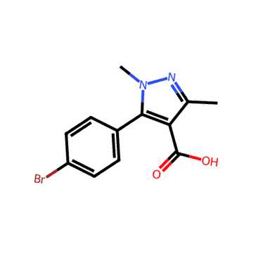 Cc1nn(C)c(-c2ccc(Br)cc2)c1C(=O)O